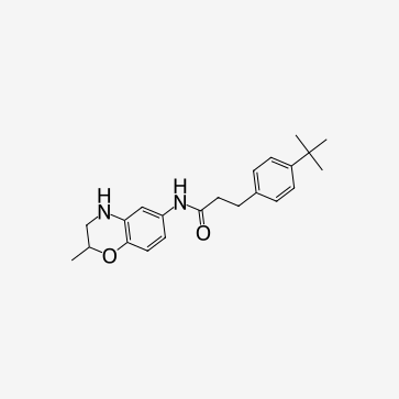 CC1CNc2cc(NC(=O)CCc3ccc(C(C)(C)C)cc3)ccc2O1